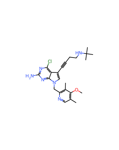 COc1c(C)cnc(Cn2cc(C#CCCNC(C)(C)C)c3c(Cl)nc(N)nc32)c1C